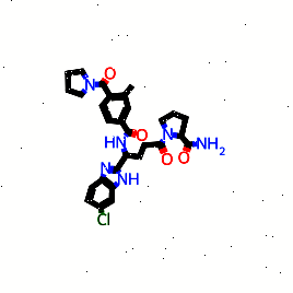 Cc1cc(C(=O)NC(CCC(=O)N2CCCC2C(N)=O)c2nc3ccc(Cl)cc3[nH]2)ccc1C(=O)N1CCCC1